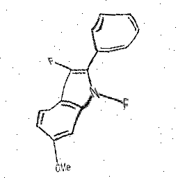 COc1ccc2c(F)c(-c3ccccc3)n(F)c2c1